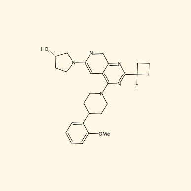 COc1ccccc1C1CCN(c2nc(C3(F)CCC3)nc3cnc(N4CC[C@H](O)C4)cc23)CC1